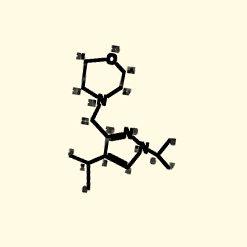 CC(C)c1cn(C(C)C)nc1CN1CCOCC1